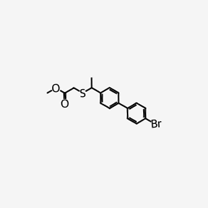 COC(=O)CSC(C)c1ccc(-c2ccc(Br)cc2)cc1